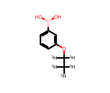 [2H]C([2H])([2H])C([2H])([2H])Oc1cccc(B(O)O)c1